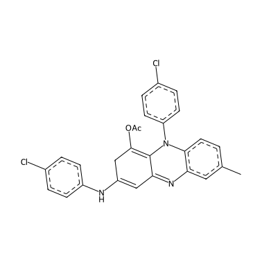 CC(=O)OC1=C2C(=Nc3cc(C)ccc3N2c2ccc(Cl)cc2)C=C(Nc2ccc(Cl)cc2)C1